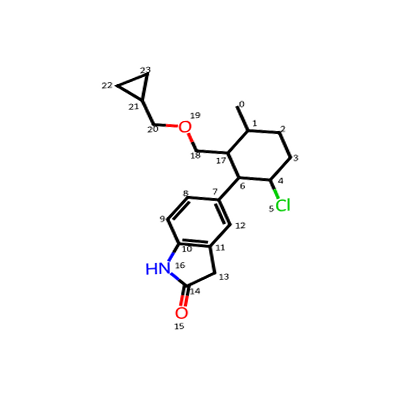 CC1CCC(Cl)C(c2ccc3c(c2)CC(=O)N3)C1COCC1CC1